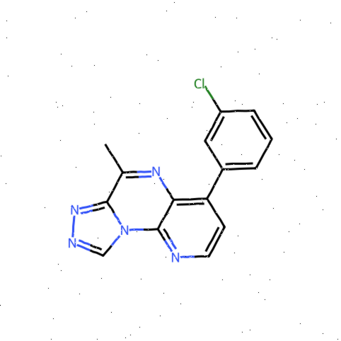 Cc1nc2c(-c3cccc(Cl)c3)ccnc2n2cnnc12